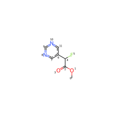 COC(=O)C(F)c1cncnc1